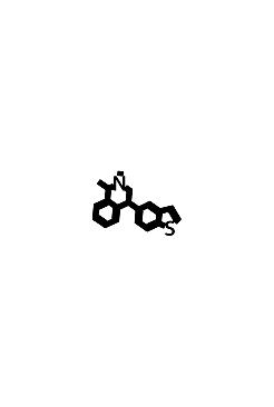 CC1c2ccccc2C(c2ccc3sccc3c2)CN1C